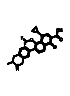 CC1Cc2ccc(-c3ccc4c(=O)c(C(=O)O)cn(C5CC5)c4c3OC(F)F)cc2CN1